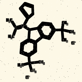 C[Si](C)=[Zr+2]([C]1=CC=CC1)[CH]1c2ccc(C(C)(C)C)cc2-c2cc(C(C)(C)C)ccc21.[Cl-].[Cl-]